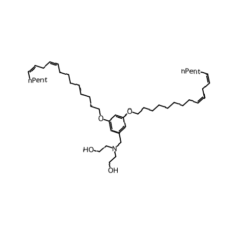 CCCCC/C=C\C/C=C\CCCCCCCCOc1cc(CN(CCO)CCO)cc(OCCCCCCCC/C=C\C/C=C\CCCCC)c1